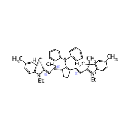 CCN1/C(=C/C=C2\CCC(/C=C/C3=[N+](CC)c4ccc(C)cc4C3(C)C)=C2N(c2ccccc2)c2ccccc2)C(C)(C)c2cc(C)ccc21